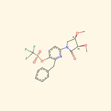 CO[C@@H]1CN(c2ccc(OS(=O)(=O)C(F)(F)F)c(Cc3ccccc3)n2)C(=O)[C@@H]1OC